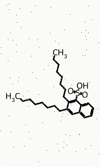 CCCCCCCCc1cc2ccccc2c(S(=O)(=O)O)c1CCCCCCCC